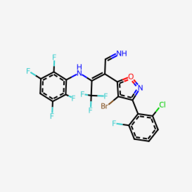 N=C/C(=C(\Nc1c(F)c(F)cc(F)c1F)C(F)(F)F)c1onc(-c2c(F)cccc2Cl)c1Br